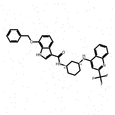 O=C(N[C@@H]1CCC[C@H](Nc2cc(C(F)(F)F)nc3ccccc23)C1)c1c[nH]c2c(OCc3ccccc3)cccc12